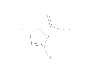 C=CC(=O)[O-].CCCC[n+]1ccn(C)c1